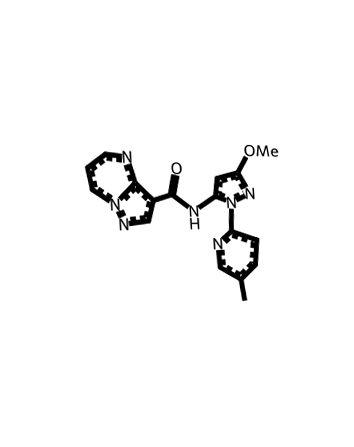 COc1cc(NC(=O)c2cnn3cccnc23)n(-c2ccc(C)cn2)n1